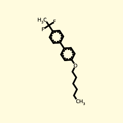 CCCCCCOc1ccc(-c2ccc(C(C)(F)F)cc2)cc1